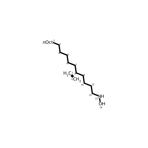 C=C.CCCCCCCCCCCCCCCCCCNO